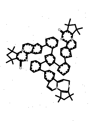 CC1(C)CC(C)(C)C2=C1CCC=C1c3ccc(-c4ccccc4-c4cc(-c5ccccc5-c5ccc6c(ccn7c8c(c(=O)nc67)C(C)(C)CC8(C)C)c5)cc(-c5ccccc5-c5ccc6c(ccn7c8c(c(=O)nc67)C(C)(C)CC8(C)C)c5)c4)cc3C=CN12